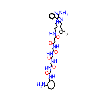 CCCCc1nc2c(N)nc3ccccc3c2n1CCCCNC(=O)CCC(=O)NCC(=O)NCC(=O)NCC(=O)NCC(=O)NCC1CCCCCCC(CN)C1